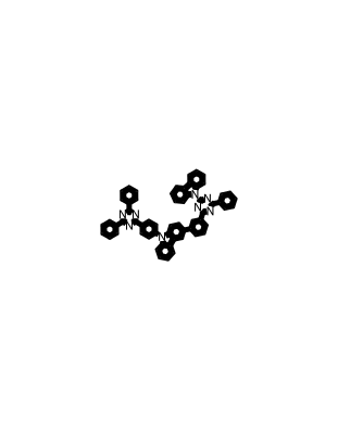 c1ccc(-c2nc(-c3ccccc3)nc(-c3ccc(-n4c5ccccc5c5cc(-c6cccc(-c7nc(-c8ccccc8)nc(-n8c9ccccc9c9ccccc98)n7)c6)ccc54)cc3)n2)cc1